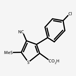 CSc1sc(C(=O)O)c(-c2ccc(Cl)cc2)c1C#N